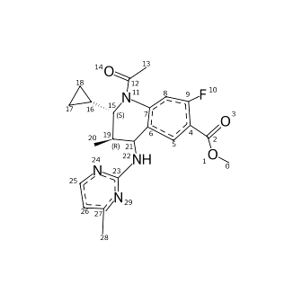 COC(=O)c1cc2c(cc1F)N(C(C)=O)[C@@H](C1CC1)[C@H](C)C2Nc1nccc(C)n1